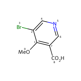 COc1c(Br)cncc1C(=O)O